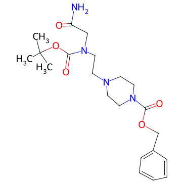 CC(C)(C)OC(=O)N(CCN1CCN(C(=O)OCc2ccccc2)CC1)CC(N)=O